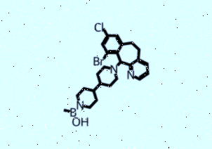 CB(O)N1CCC(C2CCN(C3c4ncccc4CCc4cc(Cl)cc(Br)c43)CC2)CC1